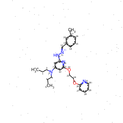 CCCN(CCC)c1cc(N/N=C/c2cccc(C)c2)nc(OCCOc2ccccn2)c1